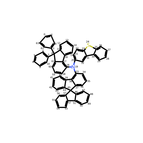 c1ccc(C2(c3ccccc3)c3ccccc3-c3c(N(c4ccc5sc6ccccc6c5c4)c4cccc5c4-c4ccccc4C54c5ccccc5-c5ccccc54)cccc32)cc1